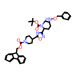 CC(C)(C)OC(=O)N1CC(NOCc2ccccc2)CCC1c1noc(C2CCN(C(=O)OCC3c4ccccc4-c4ccccc43)CC2)n1